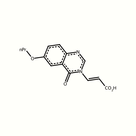 CCCOc1ccc2ncn(/C=C/C(=O)O)c(=O)c2c1